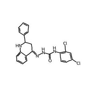 O=C(NN=C1CC(c2ccccc2)Nc2ccccc21)Nc1ccc(Cl)cc1Cl